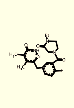 CCN1CCN(C(=O)c2cc(Cc3n[nH]c(=O)c(C)c3C)ccc2F)CC1=O